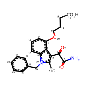 CCc1c(C(=O)C(N)=O)c2c(OCCCC(=O)O)cccc2n1Cc1ccccc1